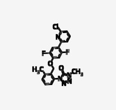 Cc1cccc(-n2nnn(C)c2=O)c1COc1cc(F)c(-c2cccc(Cl)n2)cc1F